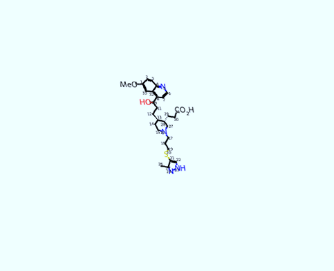 COc1ccc2nccc([C@H](O)CC[C@@H]3CCN(CCCSc4c[nH]nc4C)C[C@H]3CCC(=O)O)c2c1